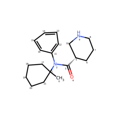 CC1(N(C(=O)[C@H]2CCCNC2)c2ccccc2)CCCCC1